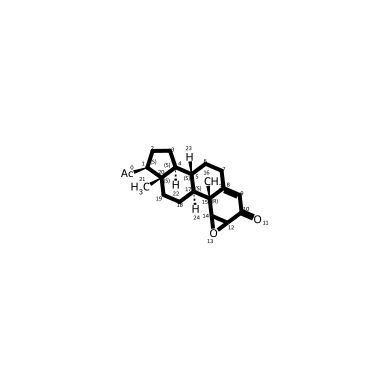 CC(=O)[C@H]1CC[C@H]2[C@@H]3CCC4=CC(=O)C5OC5[C@]4(C)[C@H]3CC[C@]12C